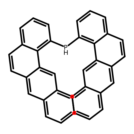 c1ccc2cc3c(ccc4cccc(Pc5cccc6ccc7cc8ccccc8cc7c56)c43)cc2c1